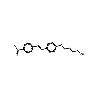 CCCCCOc1ccc(/N=C/c2ccc([N+](=O)[O-])cc2)cc1